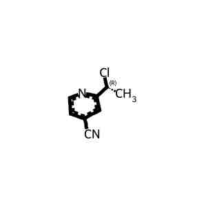 C[C@@H](Cl)c1cc(C#N)ccn1